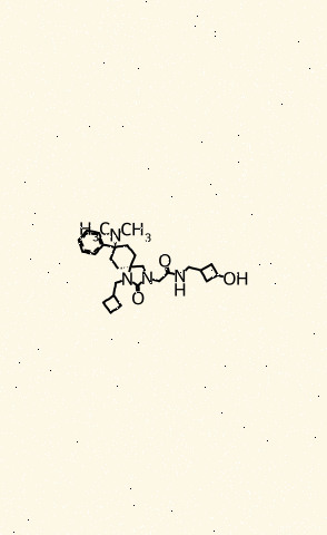 CN(C)[C@]1(c2ccccc2)CC[C@]2(CC1)CN(CC(=O)NCC1CC(O)C1)C(=O)N2CC1CCC1